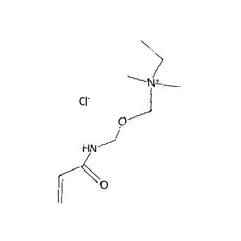 C=CC(=O)NCOC[N+](C)(C)CC.[Cl-]